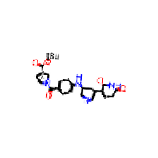 CC(C)(C)OC(=O)[C@@H]1CCN(C(=O)C2CCC(Nc3cncc(C4CCC(=O)NC4=O)c3)CC2)C1